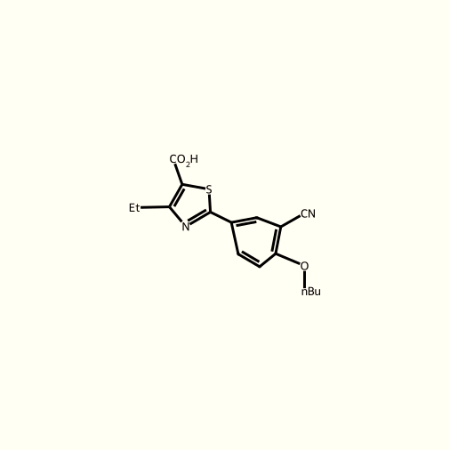 CCCCOc1ccc(-c2nc(CC)c(C(=O)O)s2)cc1C#N